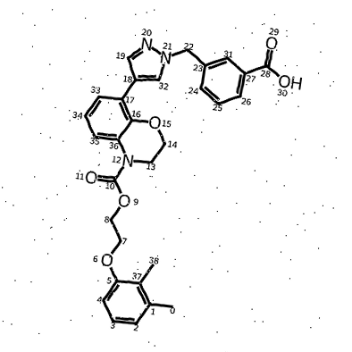 Cc1cccc(OCCOC(=O)N2CCOc3c(-c4cnn(Cc5cccc(C(=O)O)c5)c4)cccc32)c1C